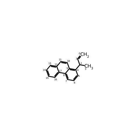 C=CC(C)c1cccc2c1ccc1ccccc12